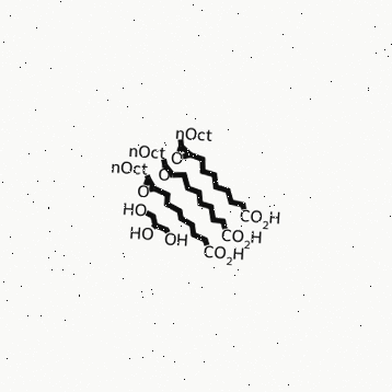 CCCCCCCCC1OC1CCCCCCCC(=O)O.CCCCCCCCC1OC1CCCCCCCC(=O)O.CCCCCCCCC1OC1CCCCCCCC(=O)O.OCC(O)CO